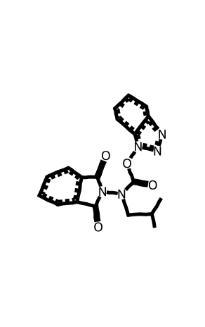 CC(C)CN(C(=O)On1nnc2ccccc21)N1C(=O)c2ccccc2C1=O